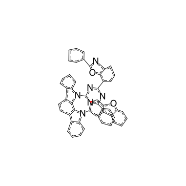 c1ccc(-c2nc(-c3cccc4nc(-c5ccccc5)oc34)nc(-n3c4ccccc4c4ccc5c6ccccc6n(-c6ccc7oc8ccccc8c7c6)c5c43)n2)cc1